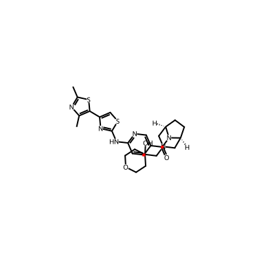 Cc1nc(C)c(-c2csc(Nc3ccc(C(=O)N4[C@@H]5CC[C@H]4CN(CC4(O)CCOCC4)C5)cn3)n2)s1